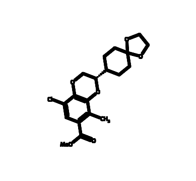 COC(=O)c1cc(Cl)c2c(c1C)O[C@@H](C1CCC3(CC1)OCCO3)CO2